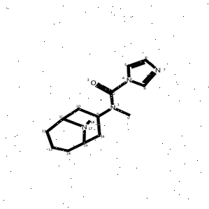 CN(C(=O)n1ccnc1)C1CC2CCCC(C1)N2C